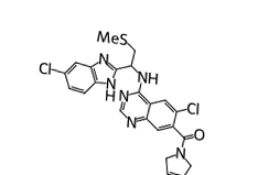 CSCC(Nc1ncnc2cc(C(=O)N3CC=CC3)c(Cl)cc12)c1nc2cc(Cl)ccc2[nH]1